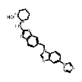 O[C@@H]1CCCC[C@H]1Nc1nc2ccc(Cn3cnc4cc(-n5cncn5)ccc43)cc2s1